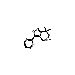 CC1(C)CNCc2c1noc2-c1ncccn1